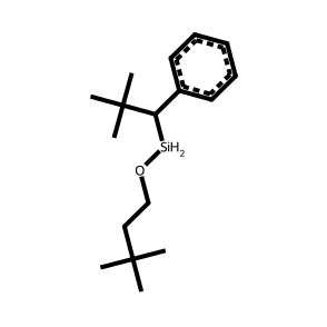 CC(C)(C)CCO[SiH2]C(c1ccccc1)C(C)(C)C